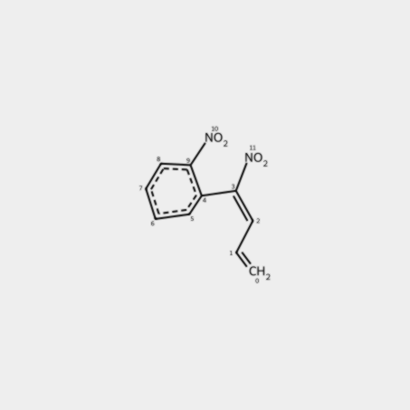 C=C/C=C(\c1ccccc1[N+](=O)[O-])[N+](=O)[O-]